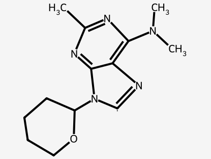 Cc1nc(N(C)C)c2n[c]n(C3CCCCO3)c2n1